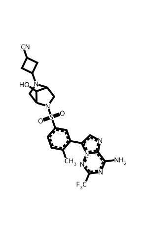 Cc1ccc(S(=O)(=O)N2CC3C(O)C2CN3C2CC(C#N)C2)cc1-c1cnc2c(N)nc(C(F)(F)F)nn12